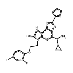 NC(c1nc2c([nH]c(=O)n2CCOc2ccc(F)cc2F)c2nc(-c3ccco3)nn12)C1CC1